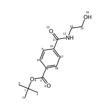 CC(C)(C)OC(=O)c1ccc(C(=O)NCCO)cc1